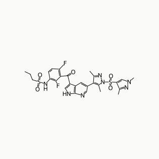 CCCS(=O)(=O)Nc1ccc(F)c(C(=O)c2c[nH]c3ncc(-c4c(C)nn(S(=O)(=O)c5cn(C)nc5C)c4C)cc23)c1F